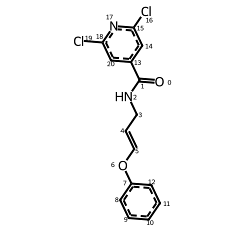 O=C(NCC=COc1ccccc1)c1cc(Cl)nc(Cl)c1